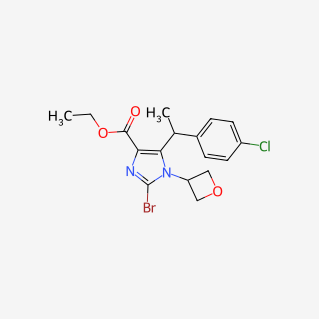 CCOC(=O)c1nc(Br)n(C2COC2)c1C(C)c1ccc(Cl)cc1